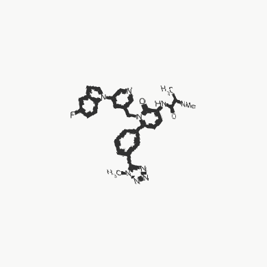 CNC(C)C(=O)Nc1ccc(-c2cccc(-c3nnnn3C)c2)n(Cc2cncc(-n3ccc4cc(F)ccc43)c2)c1=O